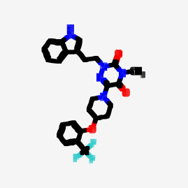 Cn1c(=O)c(N2CCC(Oc3ccccc3C(F)(F)F)CC2)nn(CCc2c[nH]c3ccccc23)c1=O